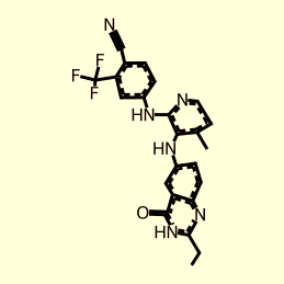 CCc1nc2ccc(Nc3c(C)ccnc3Nc3ccc(C#N)c(C(F)(F)F)c3)cc2c(=O)[nH]1